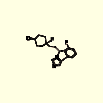 O=C1CCC(F)(CCC2c3c(F)cccc3-c3cncn32)CC1